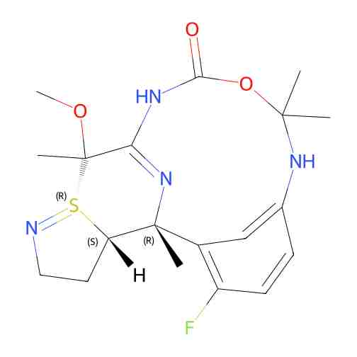 COC1(C)C2=N[C@](C)(c3cc(ccc3F)NC(C)(C)OC(=O)N2)[C@@H]2CCN=[S@@]21